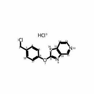 Cl.ClCc1ccc(Oc2nc3cnccc3s2)cc1